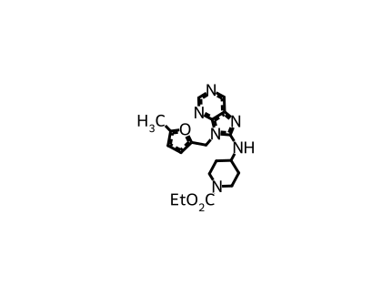 CCOC(=O)N1CCC(Nc2nc3cncnc3n2Cc2ccc(C)o2)CC1